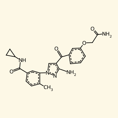 Cc1ccc(C(=O)NC2CC2)cc1-n1cc(C(=O)c2cccc(OCC(N)=O)c2)c(N)n1